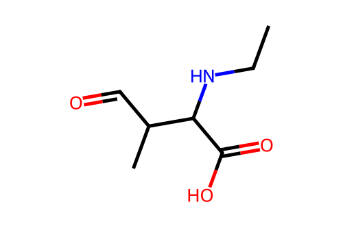 CCNC(C(=O)O)C(C)C=O